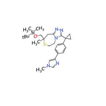 Cn1cnc(-c2ccc(C3(c4nnc5n4CCSC(C)(CO[Si](C)(C)C(C)(C)C)C5)CC3)cc2)c1